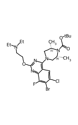 CCN(CC)CCOc1nc(N2C[C@@H](C)N(C(=O)OC(C)(C)C)[C@@H](C)C2)c2cc(Cl)c(Br)c(F)c2n1